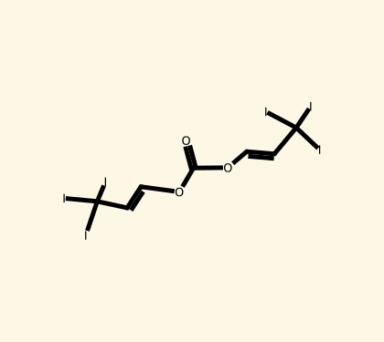 O=C(OC=CC(I)(I)I)OC=CC(I)(I)I